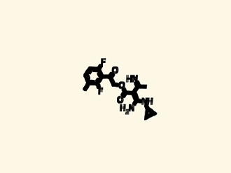 CC(=N)/C(C(=O)OCC(=O)c1c(F)ccc(C)c1F)=C(/N)NC1CC1